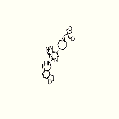 O=CC1(CN2CCC[C@H](c3cnc(NCc4c(F)ccc5c4CCO5)n4cnnc34)CC2)COC1